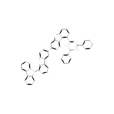 C1=CC(C2N=C(c3cccc4sc5cc(-c6ccc7oc8c(-n9c%10ccccc%10c%10ccccc%109)cccc8c7c6)ccc5c34)NC(c3ccccc3)N2)=CCC1